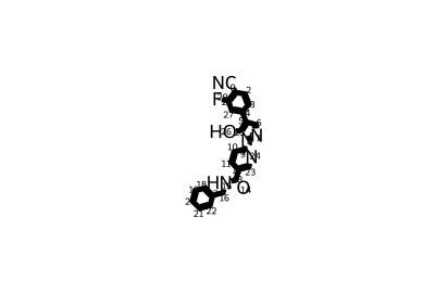 N#Cc1ccc(-c2cnn(-c3ccc(C(=O)NCc4ccccc4)cn3)c2O)cc1F